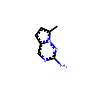 Cc1ccc2cnc(N)nn12